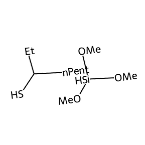 CCCCCC(S)CC.CO[SiH](OC)OC